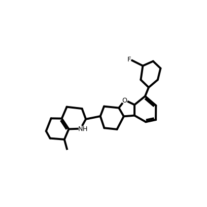 CC1CCCC2=C1NC(C1CCC3C(C1)OC1C(C4CCCC(F)C4)=CC=CC13)CC2